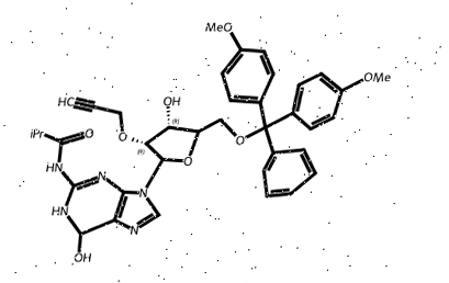 C#CCO[C@H]1C(n2cnc3c2N=C(NC(=O)C(C)C)NC3O)OC(COC(c2ccccc2)(c2ccc(OC)cc2)c2ccc(OC)cc2)[C@H]1O